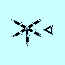 C1CP1.O=[C]=[W](=[C]=O)(=[C]=O)(=[C]=O)=[C]=O